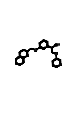 OC(COc1cccnc1)c1cccc(OCc2ccc3ccccc3n2)c1